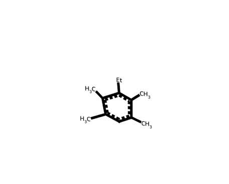 CCc1c(C)c(C)[c]c(C)c1C